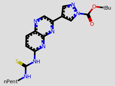 CCCCCNC(=S)Nc1ccc2ncc(-c3cnn(C(=O)OC(C)(C)C)c3)nc2n1